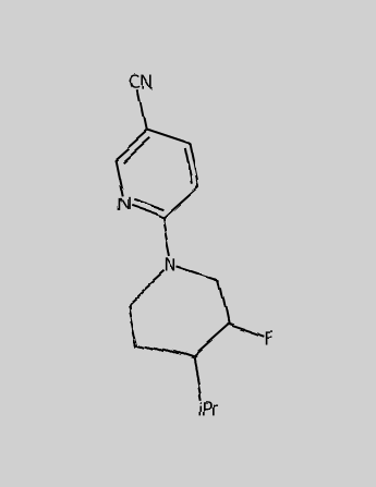 CC(C)C1CCN(c2ccc(C#N)cn2)CC1F